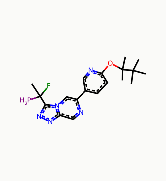 CC(F)(P)c1nnc2cnc(-c3ccc(OC(C)(C)C(C)(C)C)nc3)cn12